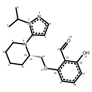 CC(C)n1nccc1N1CCCC[C@H]1COc1cccc(O)c1C=O